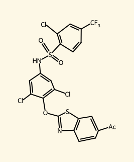 CC(=O)c1ccc2nc(Oc3c(Cl)cc(NS(=O)(=O)c4ccc(C(F)(F)F)cc4Cl)cc3Cl)sc2c1